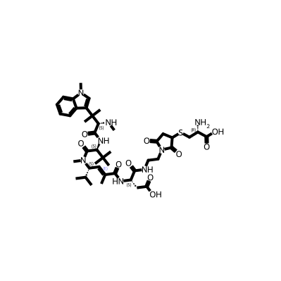 CN[C@H](C(=O)N[C@H](C(=O)N(C)[C@H](/C=C(\C)C(=O)N[C@@H](CC(=O)O)C(=O)NCCN1C(=O)CC(SC[C@H](N)C(=O)O)C1=O)C(C)C)C(C)(C)C)C(C)(C)c1cn(C)c2ccccc12